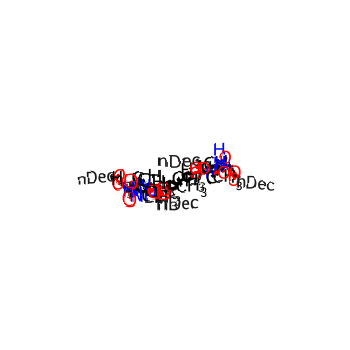 CCCCCCCCCCCC(=O)OCCN1C(=O)NC2(CC(C)(C)N(CC(COc3ccc(C(C)(C)c4ccc(OCC(CN5C(C)(C)CC6(CC5(C)C)NC(=O)N(CCOC(=O)CCCCCCCCCCC)C6=O)OC(=O)CCCCCCCCCCC)cc4)cc3)OC(=O)CCCCCCCCCCC)C(C)(C)C2)C1=O